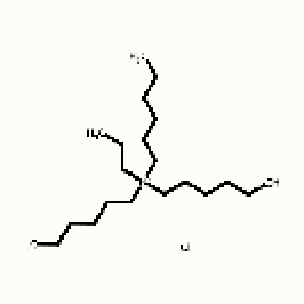 CCCCCC[N+](CCC)(CCCCCC)CCCCCC.[Cl-]